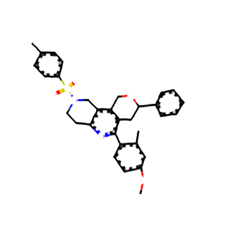 COc1ccc(-c2nc3c(c4c2CC(c2ccccc2)OC4)CN(S(=O)(=O)c2ccc(C)cc2)CC3)c(C)c1